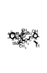 CCC=C[C@H]1CC[C@H](O)[C@@H]1CC=C=CC([16O][Si](C)(C)C(C)(C)C)([16O][Si](C)(C)C(C)(C)C)C(Cl)(Oc1ccccc1)C(=O)O